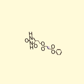 O=C(/C=C/C(=O)Oc1ccccc1)OCCc1c[nH]c(=O)[nH]c1=O